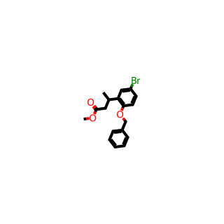 COC(=O)CC(C)c1cc(Br)ccc1OCc1ccccc1